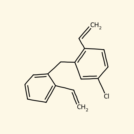 C=Cc1ccccc1Cc1cc(Cl)ccc1C=C